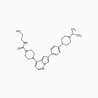 CC(C)N1CCC(c2ccc(-c3cc4c(N5CCN(C(=O)NCCO)CC5)ccnn4c3)cc2)CC1